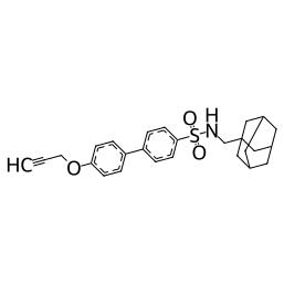 C#CCOc1ccc(-c2ccc(S(=O)(=O)NCC34CC5CC(CC(C5)C3)C4)cc2)cc1